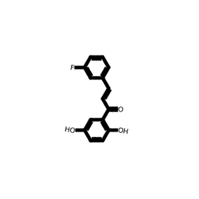 O=C(C=Cc1cccc(F)c1)c1cc(O)ccc1O